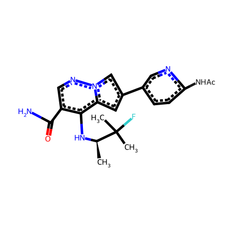 CC(=O)Nc1ccc(-c2cc3c(N[C@H](C)C(C)(C)F)c(C(N)=O)cnn3c2)cn1